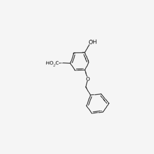 O=C(O)c1cc(O)cc(OCc2ccccc2)c1